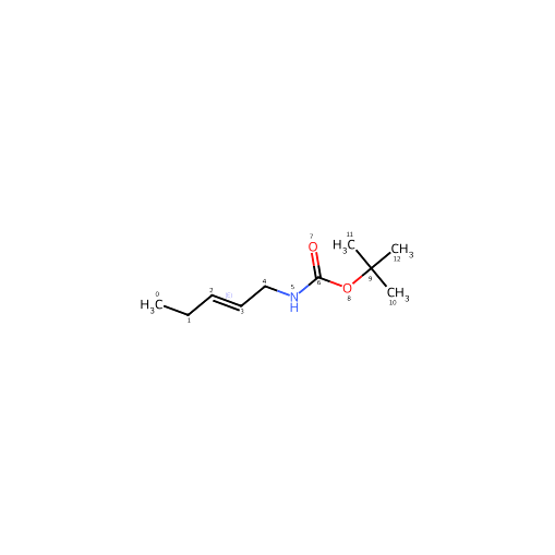 CC/C=C/CNC(=O)OC(C)(C)C